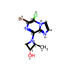 C[C@H]1[C@H](O)CN1c1nc(Br)c(Cl)n2ccnc12